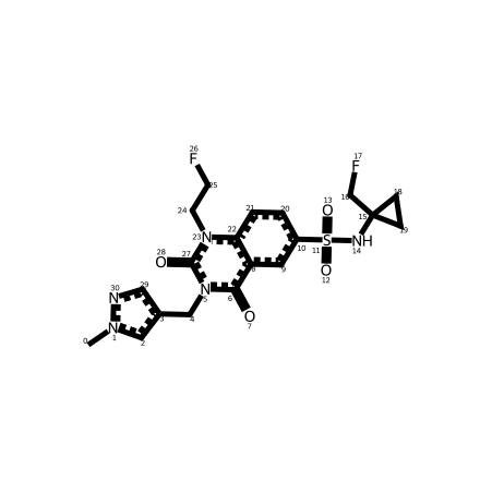 Cn1cc(Cn2c(=O)c3cc(S(=O)(=O)NC4(CF)CC4)ccc3n(CCF)c2=O)cn1